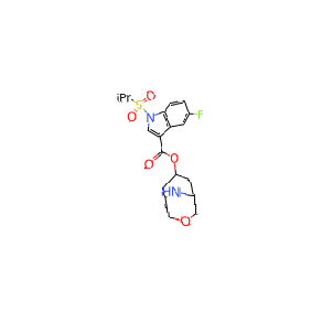 CC(C)S(=O)(=O)n1cc(C(=O)OC2CC3COCC(C2)N3)c2cc(F)ccc21